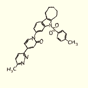 Cc1ccc(S(=O)(=O)n2c3c(c4ccc(-n5ccc(-c6ccc(C)nn6)cc5=O)cc42)CCCCC3)cc1